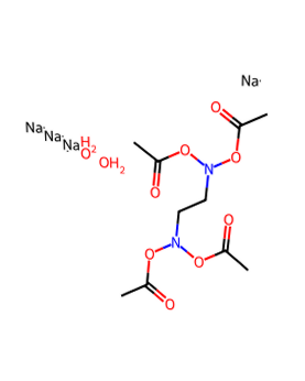 CC(=O)ON(CCN(OC(C)=O)OC(C)=O)OC(C)=O.O.O.[Na].[Na].[Na].[Na]